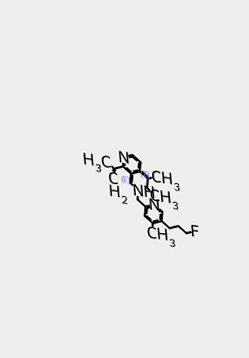 C=C(C)c1nccc(=C(\C)CC)/c1=C\NCc1cc(C)c(CCCF)cn1